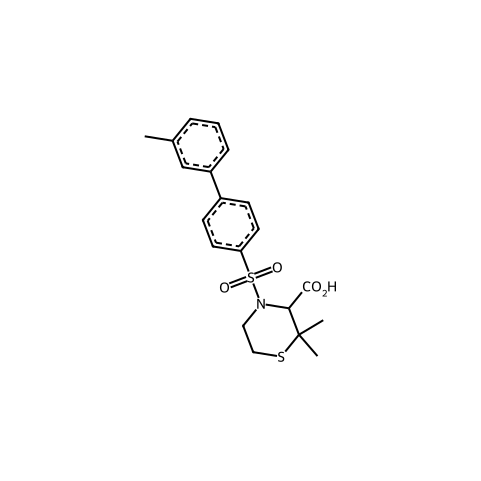 Cc1cccc(-c2ccc(S(=O)(=O)N3CCSC(C)(C)C3C(=O)O)cc2)c1